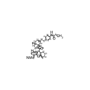 C=CC(=O)Nc1ccc(CCN2CC[C@@H]3CCN(C(=O)[C@@H](NC(=C)[C@H](C)NC)C4CCCCC4)[C@@H]3C2)cc1